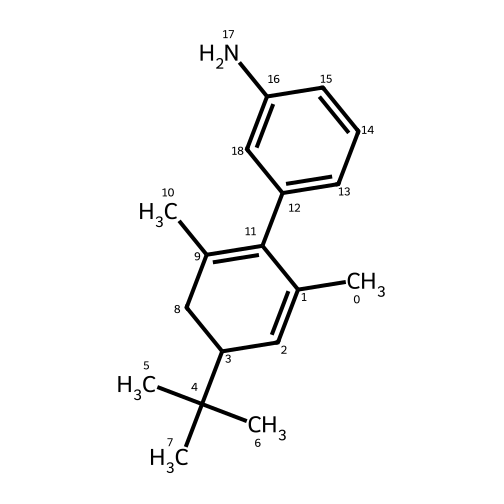 CC1=CC(C(C)(C)C)CC(C)=C1c1cccc(N)c1